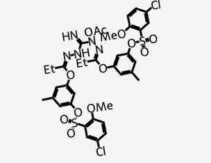 CCC(=NNC(=N)N(N=C(CC)Oc1cc(C)cc(OS(=O)(=O)c2cc(Cl)ccc2OC)c1)OC(C)=O)Oc1cc(C)cc(OS(=O)(=O)c2cc(Cl)ccc2OC)c1